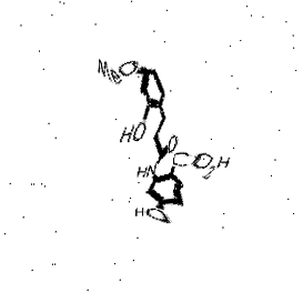 COc1ccc(CCC(=O)Nc2cc(O)ccc2C(=O)O)c(O)c1